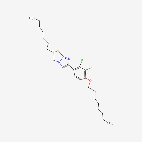 CCCCCCCCOc1ccc(-c2cn3cc(CCCCCCC)sc3n2)c(F)c1F